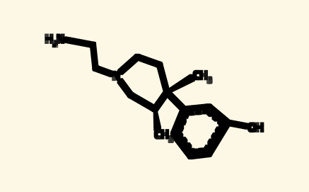 C[C@H]1CN(CCN)CC[C@]1(C)c1cccc(O)c1